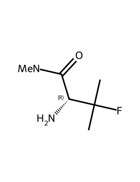 CNC(=O)[C@@H](N)C(C)(C)F